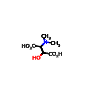 CN(C)C(C(=O)O)C(O)C(=O)O